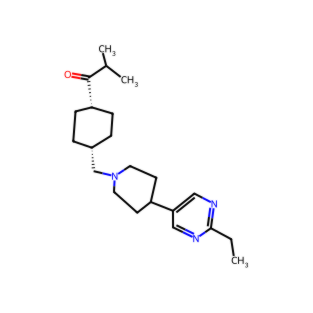 CCc1ncc(C2CCN(C[C@H]3CC[C@@H](C(=O)C(C)C)CC3)CC2)cn1